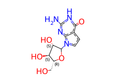 Nc1nc2c(ccn2C2O[C@H](CO)[C@@H](O)[C@@H]2O)c(=O)[nH]1